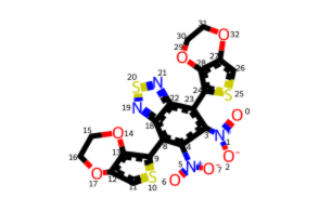 O=[N+]([O-])c1c([N+](=O)[O-])c(-c2scc3c2OCCO3)c2nsnc2c1-c1scc2c1OCCO2